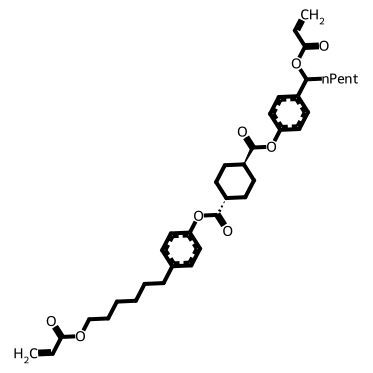 C=CC(=O)OCCCCCCc1ccc(OC(=O)[C@H]2CC[C@H](C(=O)Oc3ccc(C(CCCCC)OC(=O)C=C)cc3)CC2)cc1